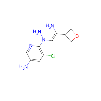 N/C(=C\N(N)c1ncc(N)cc1Cl)C1COC1